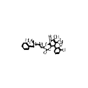 CC1=C(C#N)C(c2cccc(Cl)c2Cl)C(OC(=O)OCCN(C)Cc2ccccc2)=C(C)N1